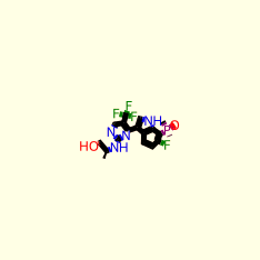 C[C@@H](CO)Nc1ncc(C(F)(F)F)c(-c2c[nH]c3c(P(C)(C)=O)c(F)ccc23)n1